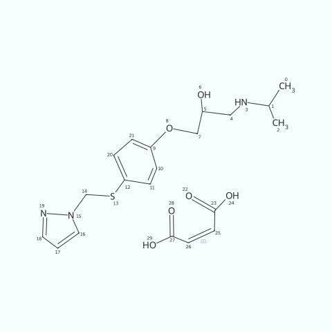 CC(C)NCC(O)COc1ccc(SCn2cccn2)cc1.O=C(O)/C=C\C(=O)O